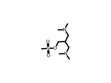 CN(C)CC(COS(C)(=O)=O)CN(C)C